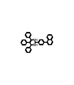 c1ccc(C2=C(c3ccccc3)C(c3ccccc3)NC(c3ccc(-c4cccc5ccccc45)cc3)N2)cc1